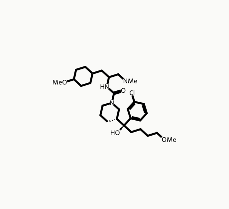 CNCC(CC1CCC(OC)CC1)NC(=O)N1CCC[C@@H]([C@@](O)(CCCCOC)c2cccc(Cl)c2)C1